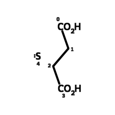 O=C(O)CCC(=O)O.[S]